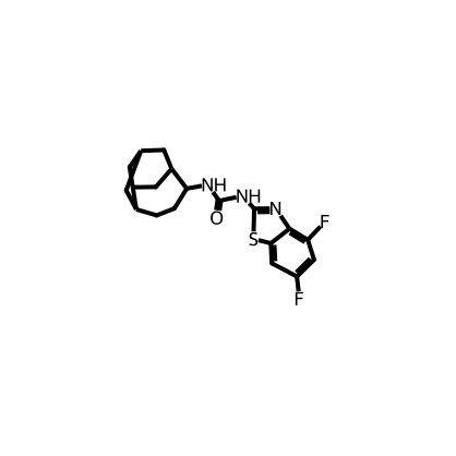 O=C(Nc1nc2c(F)cc(F)cc2s1)NC1CCC2CC3CC2CC1C3